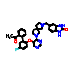 CC(=O)c1ccccc1-c1cc(F)ccc1Oc1cncnc1N1CCC2(CCN(Cc3ccc4[nH]c(=O)[nH]c4c3)C2)C1